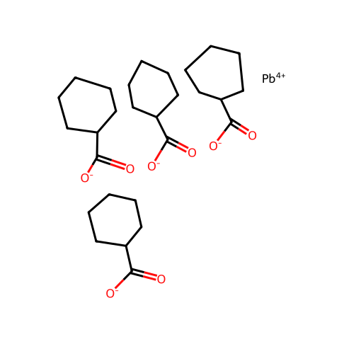 O=C([O-])C1CCCCC1.O=C([O-])C1CCCCC1.O=C([O-])C1CCCCC1.O=C([O-])C1CCCCC1.[Pb+4]